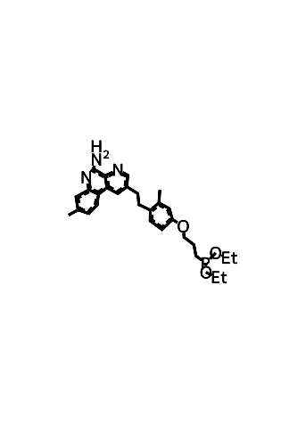 CCOP(CCCOc1ccc(CCc2cnc3c(N)nc4cc(C)ccc4c3c2)c(C)c1)OCC